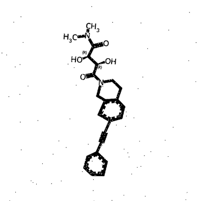 CN(C)C(=O)[C@H](O)[C@@H](O)C(=O)N1CCc2ccc(C#Cc3ccccc3)cc2C1